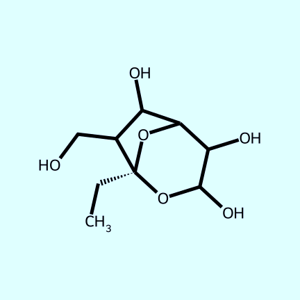 CC[C@@]12OC(O)C(O)C(O1)C(O)C2CO